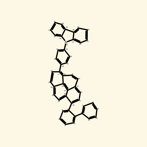 c1ccc(-c2ccccc2-c2ccc3ccc4c(-c5ccc(-n6c7ccccc7c7ccccc76)cc5)ccc5ccc2c3c54)cc1